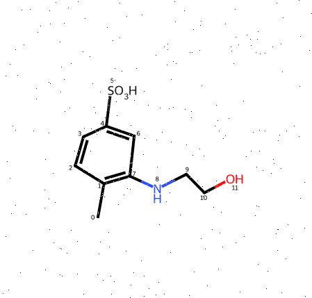 Cc1ccc(S(=O)(=O)O)cc1NCCO